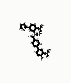 O=C(Nc1cc(-c2cccs2)ccc1[N+](=O)[O-])c1ccc(-c2ccc(F)c([N+](=O)[O-])c2)cc1